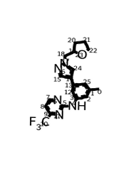 Cc1cc(Nc2nccc(C(F)(F)F)n2)cc(-c2cnn(CC3CCCO3)c2)c1